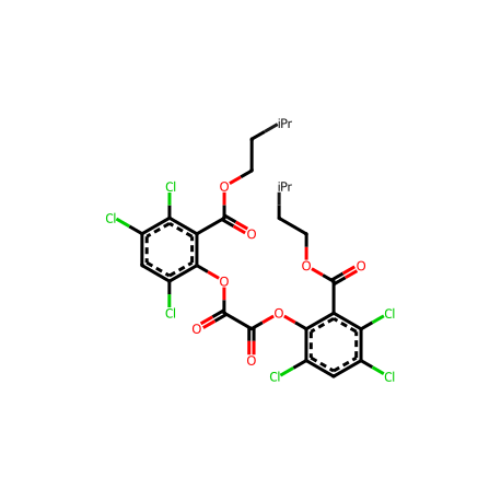 CC(C)CCOC(=O)c1c(Cl)c(Cl)cc(Cl)c1OC(=O)C(=O)Oc1c(Cl)cc(Cl)c(Cl)c1C(=O)OCCC(C)C